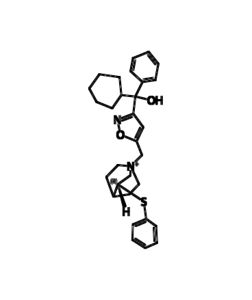 OC(c1ccccc1)(c1cc(C[N+]23CCC(CC2)[C@@H](Sc2ccccc2)C3)on1)C1CCCCC1